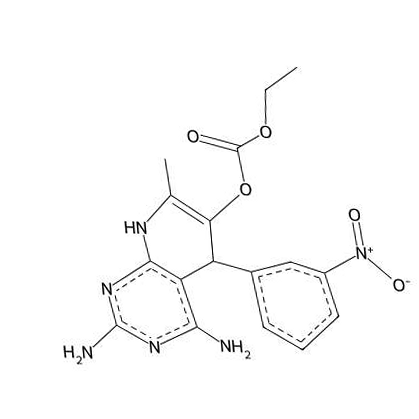 CCOC(=O)OC1=C(C)Nc2nc(N)nc(N)c2C1c1cccc([N+](=O)[O-])c1